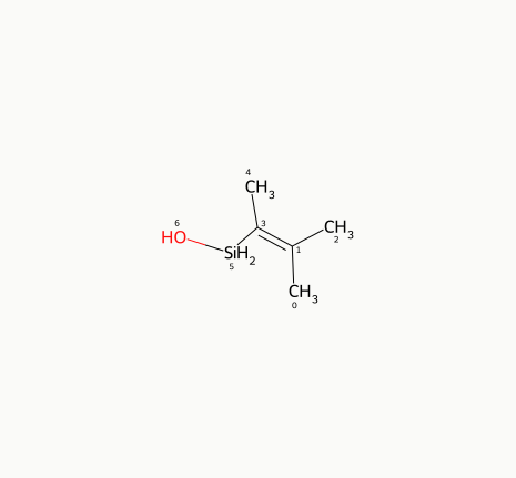 CC(C)=C(C)[SiH2]O